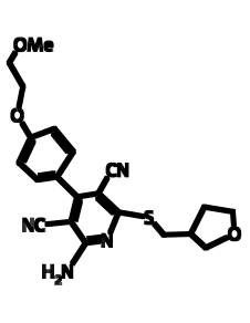 COCCOc1ccc(-c2c(C#N)c(N)nc(SCC3CCOC3)c2C#N)cc1